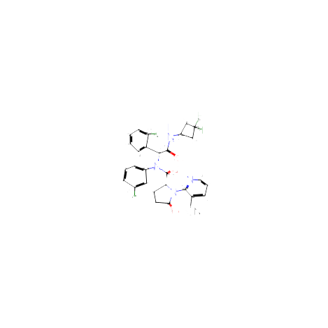 N#Cc1cccnc1N1C(=O)CC[C@H]1C(=O)N(c1cccc(F)c1)[C@H](C(=O)NC1CC(F)(F)C1)c1ccccc1Cl